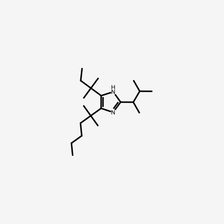 CCCCC(C)(C)c1nc(C(C)C(C)C)[nH]c1C(C)(C)CC